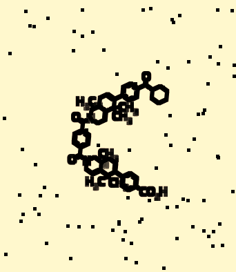 CC1(C)C(c2ccc(C(=O)O)cc2)=CC[C@]2(C)CN(C(=O)c3ccc(C(=O)N4CC=C5C(C)(C)C(c6ccc(C(=O)C7CCCCC7)cc6)=CC[C@]5(C)C4)cc3)CC=C12